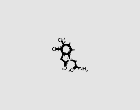 NC(=O)CN1C(=O)Cc2c1ccc(Cl)c2Cl